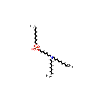 CCCCCCCCCCOP(=O)(O)OCCCCCCCN(CCCCCCCCC)CCCCCCCCC